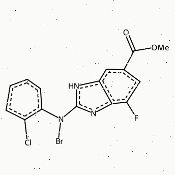 COC(=O)c1cc(F)c2nc(N(Br)c3ccccc3Cl)[nH]c2c1